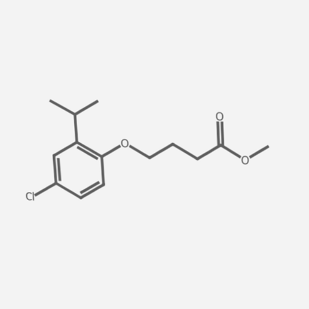 COC(=O)CCCOc1ccc(Cl)cc1C(C)C